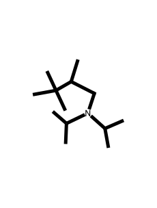 CC(C)N(CC(C)C(C)(C)C)C(C)C